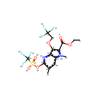 CCOC(=O)c1c(OCC(F)(F)F)c2nc(OS(=O)(=O)C(F)(F)F)c(C)cc2n1C